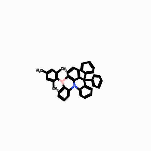 Cc1cc(C)c(B2c3ccccc3N3c4ccccc4C(c4ccccc4)(c4ccccc4)c4cccc2c43)c(C)c1